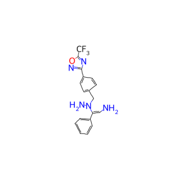 N/C=C(/c1ccccc1)N(N)Cc1ccc(-c2noc(C(F)(F)F)n2)cc1